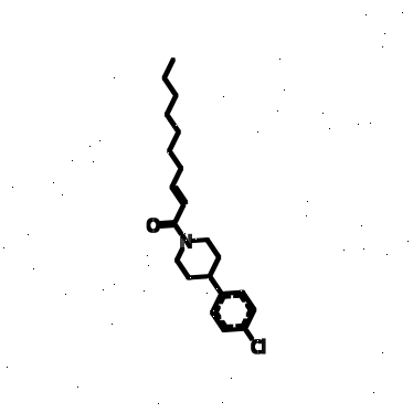 CCCCCCC/C=C/C(=O)N1CCC(c2ccc(Cl)cc2)CC1